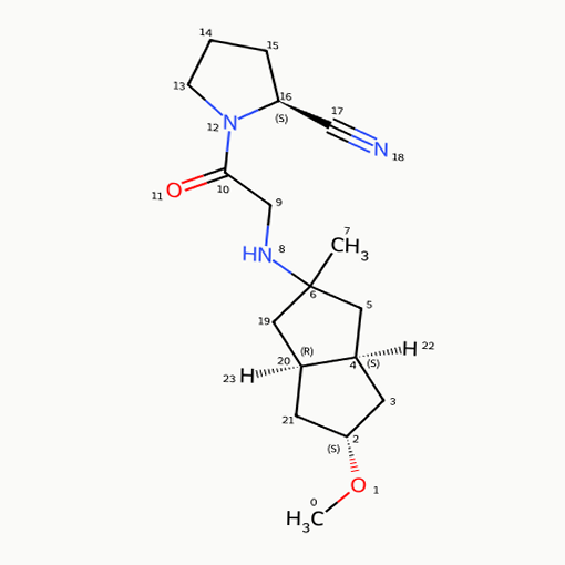 CO[C@H]1C[C@@H]2CC(C)(NCC(=O)N3CCC[C@H]3C#N)C[C@@H]2C1